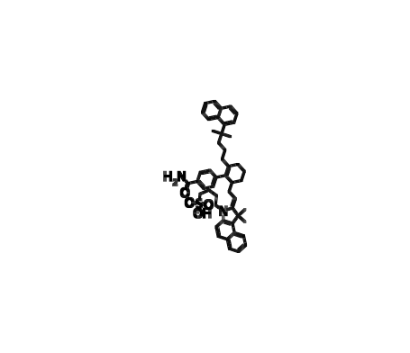 CC(C)(CCCC1=C(c2ccc(C(N)=O)cc2)C(C/C=C2\N(CCCCS(=O)(=O)O)c3ccc4ccccc4c3C2(C)C)CCC1)c1cccc2ccccc12